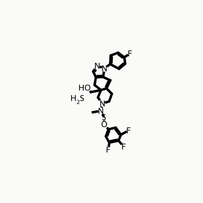 CN(SOc1cc(F)c(F)c(F)c1)N1CCC2=Cc3c(cnn3-c3ccc(F)cc3)CC2(CO)C1.S